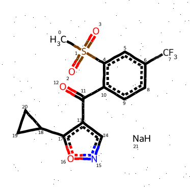 CS(=O)(=O)c1cc(C(F)(F)F)ccc1C(=O)c1cnoc1C1CC1.[NaH]